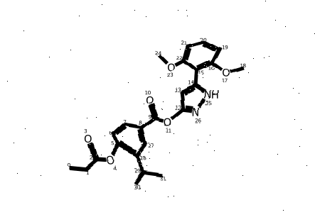 CCC(=O)Oc1ccc(C(=O)Oc2cc(-c3c(OC)cccc3OC)[nH]n2)cc1C(C)C